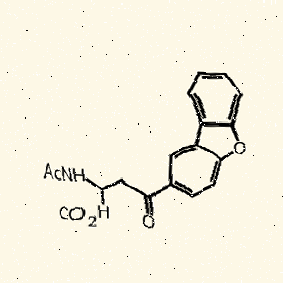 CC(=O)NC(CC(=O)c1ccc2oc3ccccc3c2c1)C(=O)O